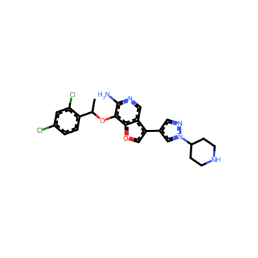 CC(Oc1c(N)ncc2c(-c3cnn(C4CCNCC4)c3)coc12)c1ccc(Cl)cc1Cl